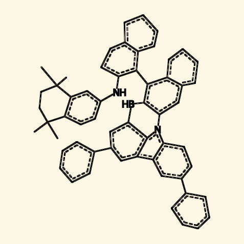 CC1(C)CCC(C)(C)c2cc(Nc3ccc4ccccc4c3-c3c4c(cc5ccccc35)-n3c5ccc(-c6ccccc6)cc5c5cc(-c6ccccc6)cc(c53)B4)ccc21